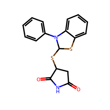 O=C1CC(SC2Sc3ccccc3N2c2ccccc2)C(=O)N1